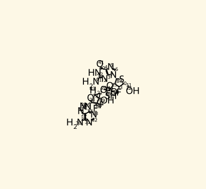 Nc1nc2c(ncn2[C@@H]2S[C@H](CO)[C@H](F)[C@H]2OP(=O)(S)OC2[C@H]3O[C@@H](n4nnc5c(N)ncnc54)C(F)(F)[C@@]23O)c(=O)[nH]1